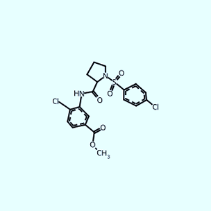 COC(=O)c1ccc(Cl)c(NC(=O)C2CCCN2S(=O)(=O)c2ccc(Cl)cc2)c1